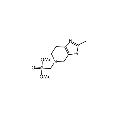 COP(=O)(CN1CCc2nc(C)sc2C1)OC